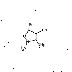 CC(C)C1ON(N)C(N)=C1C#N